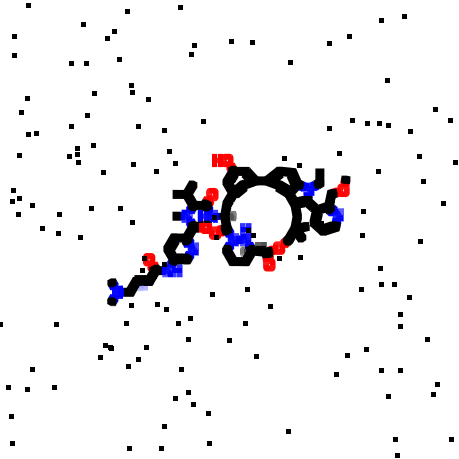 CCn1c(-c2cccnc2COC)c2c3cc(ccc31)-c1cc(O)cc(c1)C[C@H](NC(=O)C(C(C)C)N(C)C(=O)c1ccc(NC(=O)/C=C/CN(C)C)cn1)C(=O)N1CCC[C@H](N1)C(=O)OCC(C)(C)C2